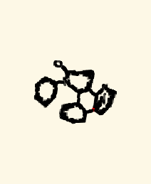 N#Cc1ccccc1-c1c(-c2ccccn2)ccc(=O)n1-c1ccccc1